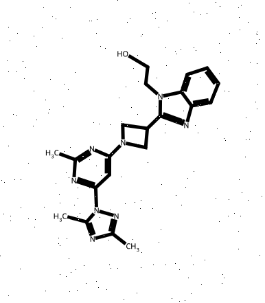 Cc1nc(N2CC(c3nc4ccccc4n3CCO)C2)cc(-n2nc(C)nc2C)n1